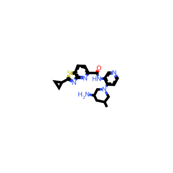 CC1CC(N)CN(c2ccncc2NC(=O)c2ccc3sc(C4CC4)nc3n2)C1